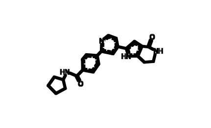 O=C(NC1CCCC1)c1ccc(-c2cc(-c3cc4c([nH]3)CCNC4=O)ccn2)cc1